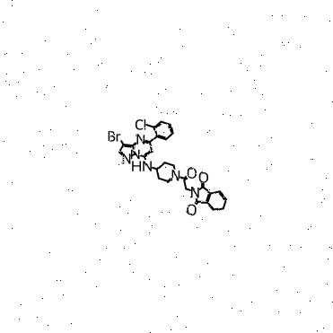 O=C(CN1C(=O)C2=C(CCC=C2)C1=O)N1CCC(Nc2cc(-c3ccccc3Cl)nc3c(Br)cnn23)CC1